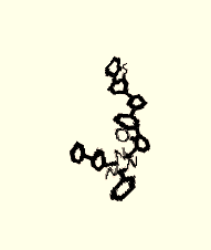 c1ccc(-c2ccc(-c3nc(-c4ccccc4)nc(-c4cccc5c4oc4ccc(-c6cccc(-c7ccc8c(c7)sc7ccccc78)c6)cc45)n3)cc2)cc1